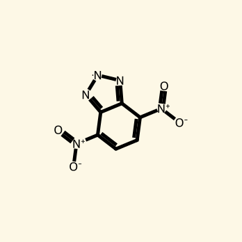 O=[N+]([O-])c1ccc([N+](=O)[O-])c2c1=N[N]N=2